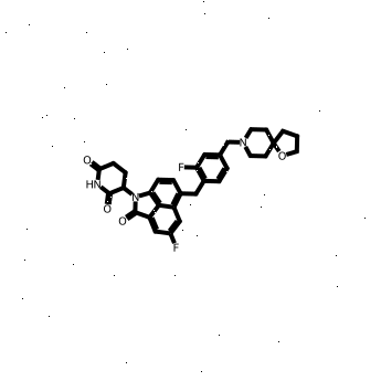 O=C1CCC(N2C(=O)c3cc(F)cc4c(Cc5ccc(CN6CCC7(CCCO7)CC6)cc5F)ccc2c34)C(=O)N1